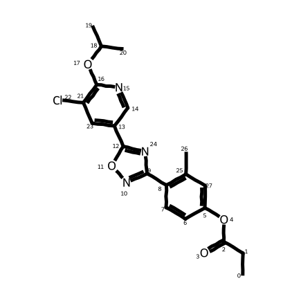 CCC(=O)Oc1ccc(-c2noc(-c3cnc(OC(C)C)c(Cl)c3)n2)c(C)c1